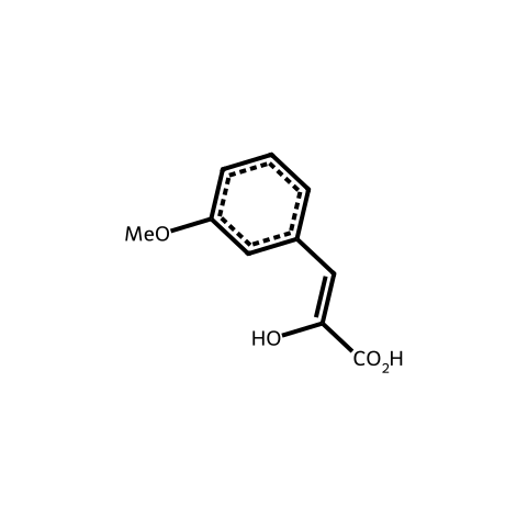 COc1cccc(C=C(O)C(=O)O)c1